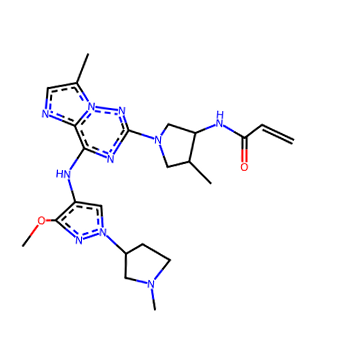 C=CC(=O)NC1CN(c2nc(Nc3cn(C4CCN(C)C4)nc3OC)c3ncc(C)n3n2)CC1C